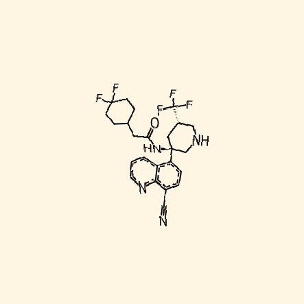 N#Cc1ccc([C@@]2(NC(=O)CC3CCC(F)(F)CC3)CNC[C@@H](C(F)(F)F)C2)c2cccnc12